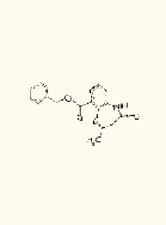 CC1CC(=O)Nc2cccc(C(=O)OCc3ccccc3)c2O1